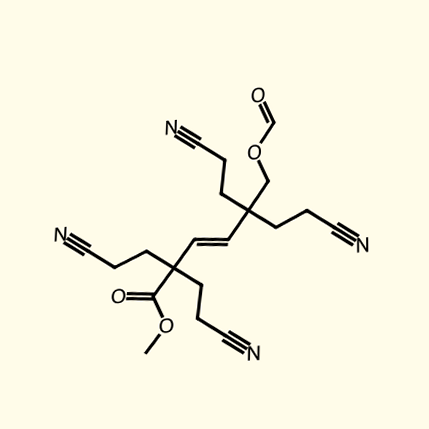 COC(=O)C(/C=C/C(CCC#N)(CCC#N)COC=O)(CCC#N)CCC#N